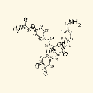 NCc1ccc(CNC(=O)[C@H](Cc2ccc(Cl)c(Cl)c2)NC(=O)[CH]Cc2ccc(OCC(N)=O)cc2)cc1